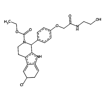 CCOC(=O)N1CCc2c([nH]c3c2=CC(Cl)CC=3)C1c1ccc(OCC(=O)NCCO)cc1